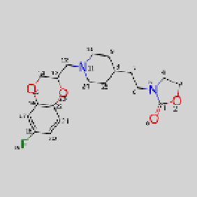 O=C1OCCN1CCC1CCN(CC2COc3cc(F)ccc3O2)CC1